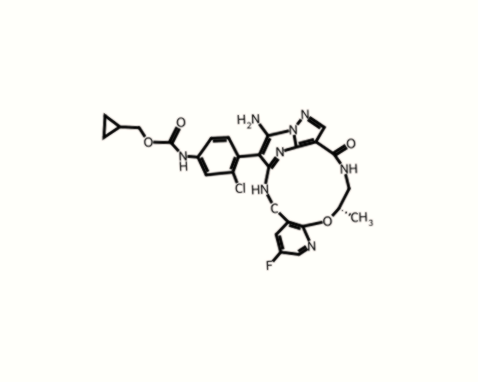 C[C@H]1CNC(=O)c2cnn3c(N)c(-c4ccc(NC(=O)OCC5CC5)cc4Cl)c(nc23)NCc2cc(F)cnc2O1